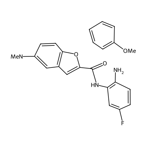 CNc1ccc2oc(C(=O)Nc3cc(F)ccc3N)cc2c1.COc1ccccc1